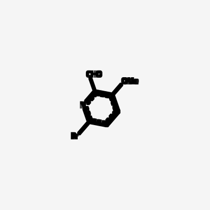 COc1ccc(Br)nc1C=O